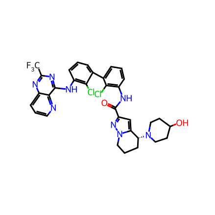 O=C(Nc1cccc(-c2cccc(Nc3nc(C(F)(F)F)nc4cccnc34)c2Cl)c1Cl)c1cc2n(n1)CCC[C@H]2N1CCC(O)CC1